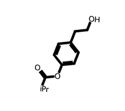 CC(C)C(=O)Oc1ccc(CCO)cc1